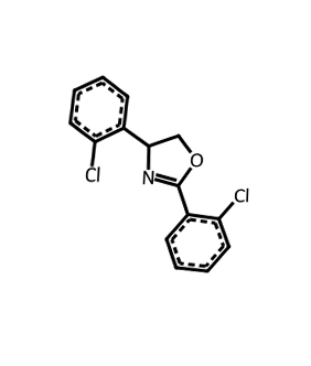 Clc1ccccc1C1=NC(c2ccccc2Cl)CO1